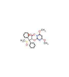 COc1cc(OC)nc(OC(C(=O)O)C(c2ccccc2)(c2ccccc2)[S+](C)[O-])n1